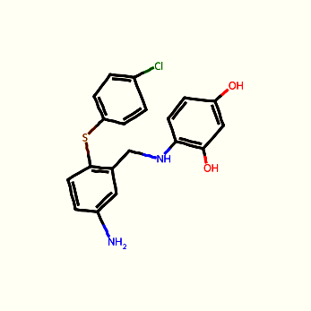 Nc1ccc(Sc2ccc(Cl)cc2)c(CNc2ccc(O)cc2O)c1